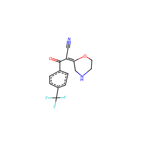 N#CC(C(=O)c1ccc(C(F)(F)F)cc1)=C1CNCCO1